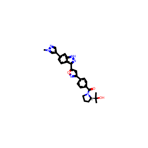 Cn1cc(-c2ccc3c(-c4cc(-c5ccc(C(=O)N6CCC[C@@H]6C(C)(C)O)cc5)no4)n[nH]c3c2)cn1